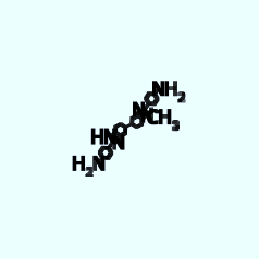 Cn1c(-c2ccc(N)cc2)nc2cc(-c3ccc4[nH]c(-c5ccc(N)cc5)nc4c3)ccc21